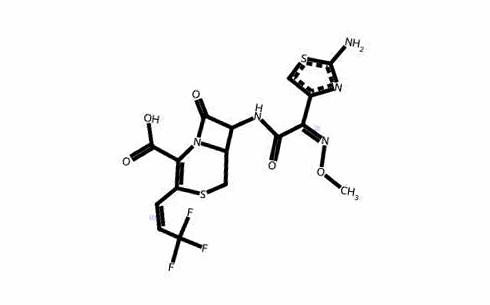 CO/N=C(\C(=O)NC1C(=O)N2C(C(=O)O)=C(/C=C\C(F)(F)F)SCC12)c1csc(N)n1